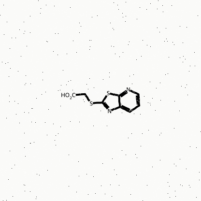 O=C(O)CSc1nc2cccnc2s1